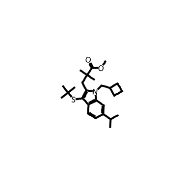 COC(=O)C(C)(C)Cc1c(SC(C)(C)C)c2ccc(C(C)C)cc2n1CC1CCC1